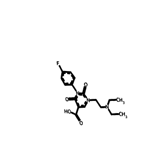 CCN(CC)CCn1cc(C(=O)O)c(=O)n(-c2ccc(F)cc2)c1=O